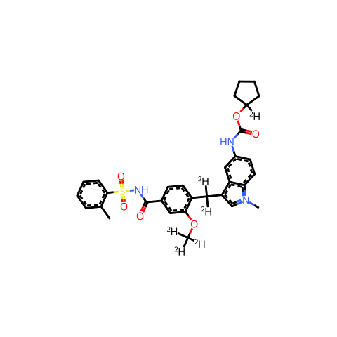 [2H]C([2H])([2H])Oc1cc(C(=O)NS(=O)(=O)c2ccccc2C)ccc1C([2H])([2H])c1cn(C)c2ccc(NC(=O)OC3([2H])CCCC3)cc12